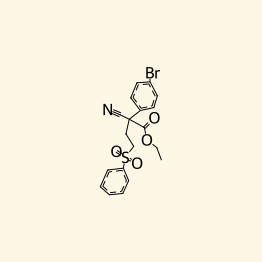 CCOC(=O)C(C#N)(CCS(=O)(=O)c1ccccc1)c1ccc(Br)cc1